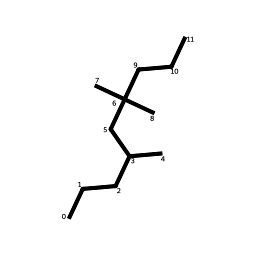 CCCC(C)CC(C)(C)CCC